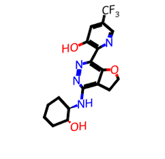 Oc1cc(C(F)(F)F)cnc1-c1nnc(N[C@@H]2CCCC[C@H]2O)c2c1OCC2